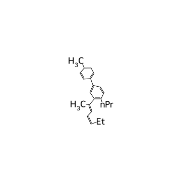 CC/C=C\C=C(/C)c1cc(C2=CCC(C)C=C2)ccc1CCC